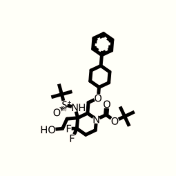 CC(C)(C)OC(=O)N1CCC(F)(F)C(CCO)(N[S@@+]([O-])C(C)(C)C)C1COC1CCC(c2ccccc2)CC1